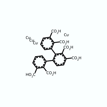 O=C(O)c1cccc(-c2ccc(C(=O)O)c(C(=O)O)c2-c2cccc(C(=O)O)c2C(=O)O)c1C(=O)O.[Cu].[Cu].[Cu].[Cu]